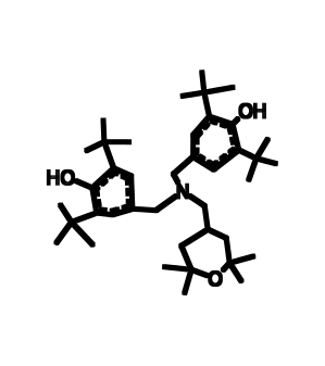 CC1(C)CC(CN(Cc2cc(C(C)(C)C)c(O)c(C(C)(C)C)c2)Cc2cc(C(C)(C)C)c(O)c(C(C)(C)C)c2)CC(C)(C)O1